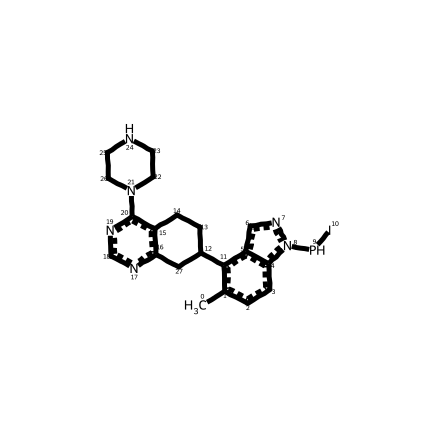 Cc1ccc2c(cnn2PI)c1C1CCc2c(ncnc2N2CCNCC2)C1